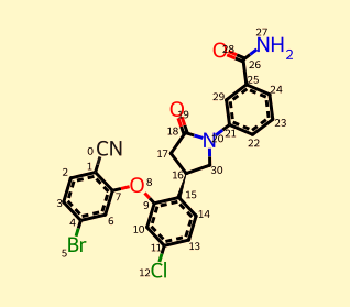 N#Cc1ccc(Br)cc1Oc1cc(Cl)ccc1[C@H]1CC(=O)N(c2cccc(C(N)=O)c2)C1